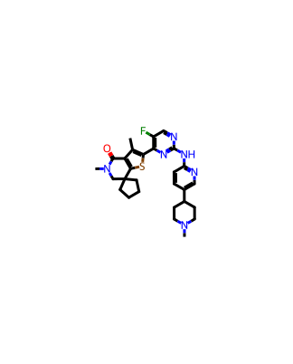 Cc1c(-c2nc(Nc3ccc(C4CCN(C)CC4)cn3)ncc2F)sc2c1C(=O)N(C)CC21CCCC1